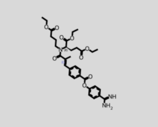 CCOC(=O)CCCN(C(=O)/C(C)=C/c1ccc(C(=O)Oc2ccc(C(=N)N)cc2)cc1)[C@H](CCC(=O)OCC)C(=O)OCC